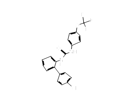 O=C(Nc1ccc(OC(F)(F)F)cc1)Nc1ccccc1-c1ccc(Cl)cc1